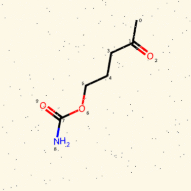 CC(=O)CCCOC(N)=O